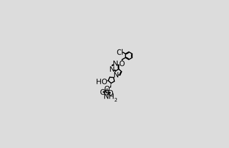 NS(=O)(=O)OC[C@@H]1C[C@@H](n2ccc3c(OCc4ccccc4Cl)ncnc32)C[C@@H]1O